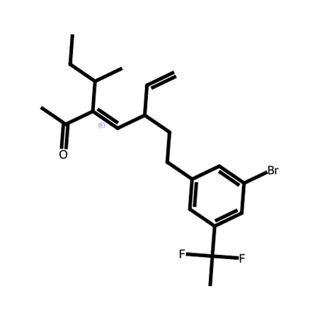 C=CC(/C=C(/C(C)=O)C(C)CC)CCc1cc(Br)cc(C(C)(F)F)c1